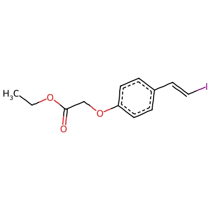 CCOC(=O)COc1ccc(/C=C/I)cc1